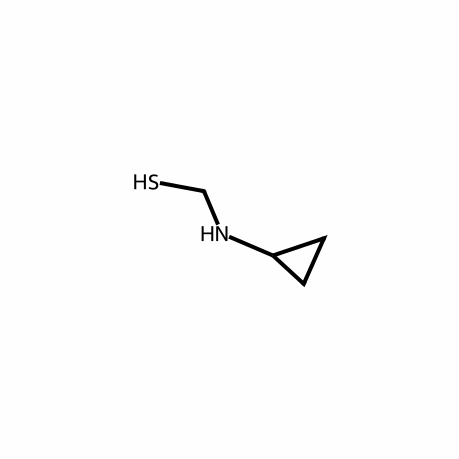 SCNC1CC1